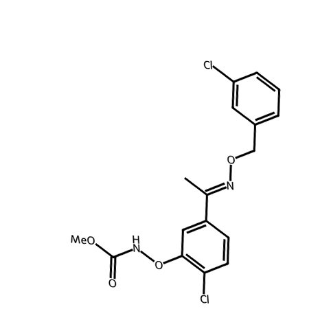 COC(=O)NOc1cc(/C(C)=N/OCc2cccc(Cl)c2)ccc1Cl